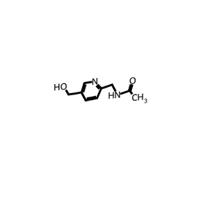 CC(=O)NCc1ccc(CO)cn1